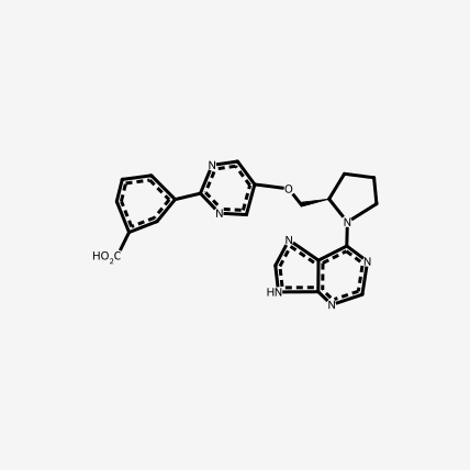 O=C(O)c1cccc(-c2ncc(OC[C@H]3CCCN3c3ncnc4[nH]cnc34)cn2)c1